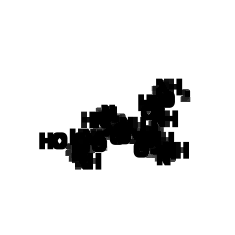 NCC(=O)NCC(=O)NCCC(=O)N[C@@H](Cc1c[nH]cn1)C(=O)NCCC(=O)N[C@@H](Cc1c[nH]cn1)C(=O)NCCC(=O)N[C@@H](Cc1c[nH]cn1)C(=O)O